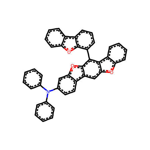 c1ccc(N(c2ccccc2)c2ccc3c(c2)oc2c(-c4cccc5c4oc4ccccc45)c4c(cc23)oc2ccccc24)cc1